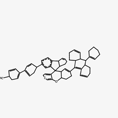 N#CC1C=CC(C2=CCC(c3ccc4c(c3)C3(C5=CCCC=C5OC5CCC(C6=C7C=CCCC7C(C7=CCCCC7)C7C=CCCC67)=CC53)C3CCC=CC43)C=C2)=CC1